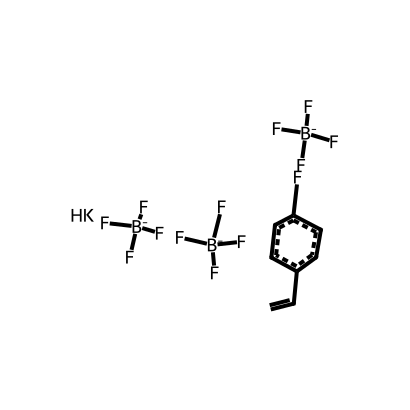 C=Cc1ccc(F)cc1.F[B-](F)(F)F.F[B-](F)(F)F.F[B-](F)(F)F.[KH]